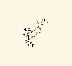 COC(=O)c1ccc2c(c1)C1(C)CCN(C(=O)C(F)(F)F)C(C2)[C@H]1C